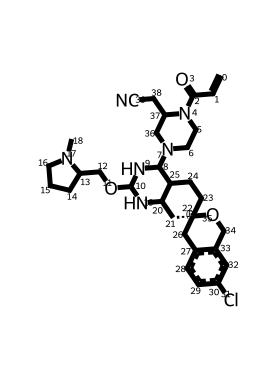 C=CC(=O)N1CCN(C2NC(OCC3CCCN3C)NC3C[C@@]4(CCC32)Cc2ccc(Cl)cc2CO4)CC1CC#N